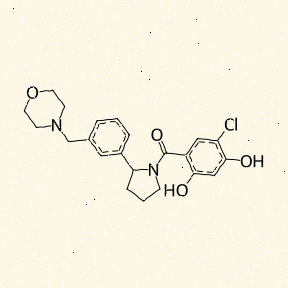 O=C(c1cc(Cl)c(O)cc1O)N1CCCC1c1cccc(CN2CCOCC2)c1